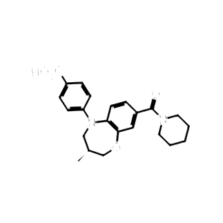 C[C@@H]1COc2cc(C(=O)N3CCCCC3)ccc2N(c2ccc(C(=O)O)cc2)C1